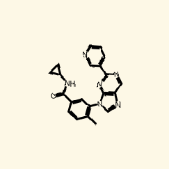 Cc1ccc(C(=O)NC2CC2)cc1-n1cnc2cnc(-c3cccnc3)nc21